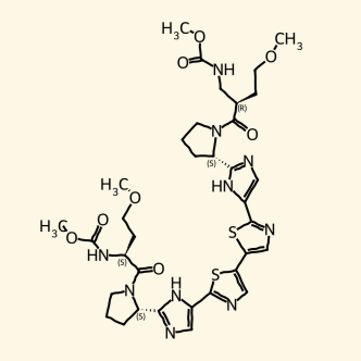 COCC[C@H](CNC(=O)OC)C(=O)N1CCC[C@H]1c1ncc(-c2ncc(-c3cnc(-c4cnc([C@@H]5CCCN5C(=O)[C@H](CCOC)NC(=O)OC)[nH]4)s3)s2)[nH]1